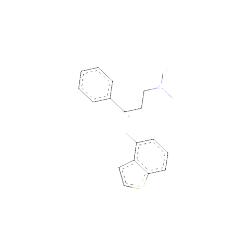 CN(C)C[C@H](F)[C@H](Oc1cccc2sccc12)c1ccccc1